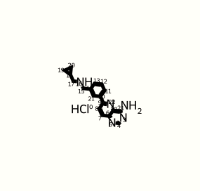 Cl.Nc1ncnc2ccc(-c3cccc(CNCC4CC4)c3)nc12